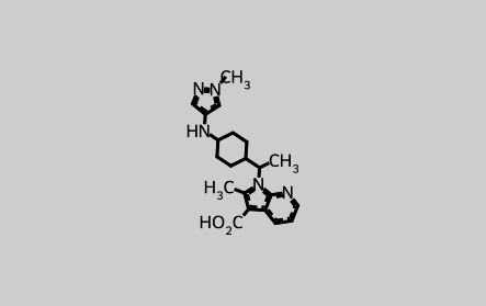 Cc1c(C(=O)O)c2cccnc2n1C(C)C1CCC(Nc2cnn(C)c2)CC1